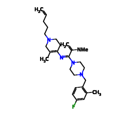 C=CCCCN1CCC(/N=C(\C(=C)NC)N2CCN(Cc3ccc(F)cc3C)CC2)=C(C)C1